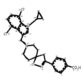 O=C(O)c1ccc(C2=NOC3(CCN(Cc4cn(C5CC5)c5c(Cl)ccc(Cl)c45)CC3)C2)cc1